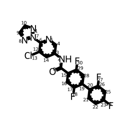 O=C(Nc1cnc(-n2nccn2)c(Cl)c1)c1cc(F)c(-c2ccc(F)cc2F)cc1F